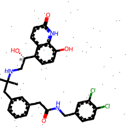 CC(C)(Cc1cccc(CC(=O)NCc2ccc(Cl)c(Cl)c2)c1)NC[C@H](O)c1ccc(O)c2[nH]c(=O)ccc12